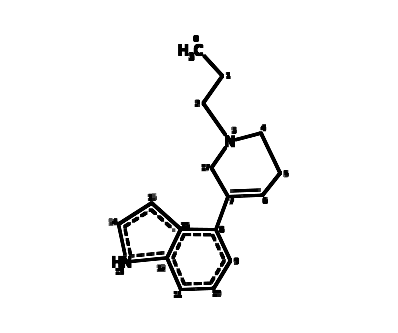 CCCN1CCC=C(c2cccc3[nH]ccc23)C1